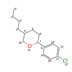 CCCCC1CCC(c2ccc(Cl)cc2)OC1